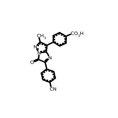 Cc1nn2c(c1-c1ccc(C(=O)O)cc1)N=C(c1ccc(C#N)cc1)C2=O